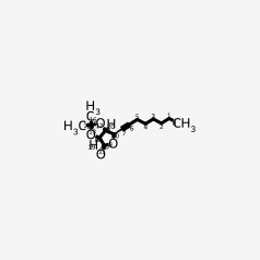 CCCCCCC#C[C@H]1OC(=O)[C@H]2OC(C)(C)O[C@H]21